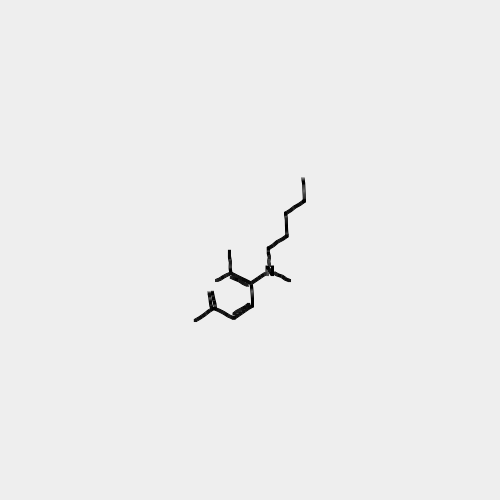 C=C(C)/C=C\C(=C(C)C)N(C)CCCCC